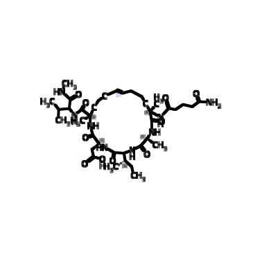 CC[C@H](C)C1NC(=O)[C@H](C)NC(=O)[C@@](C)(NC(=O)CCCC(N)=O)CCC/C=C/CCC[C@@](C)(C(=O)NC(C(=O)NC)C(C)C)NC(=O)[C@H](CC(=O)O)NC1=O